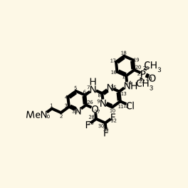 CNCCc1ccc(Nc2ncc(Cl)c(Nc3ccccc3P(C)(C)=O)n2)c(OC(F)C(F)F)n1